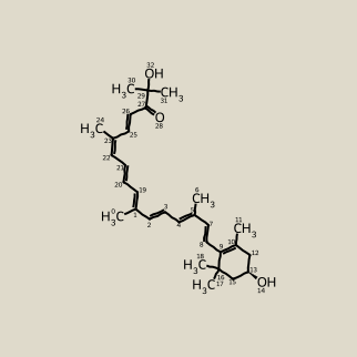 CC(C=CC=C(C)C=CC1=C(C)C[C@@H](O)CC1(C)C)=CC=CC=C(C)C=CC(=O)C(C)(C)O